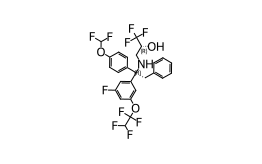 O[C@H](CN[C@](Cc1ccccc1)(c1ccc(OC(F)F)cc1)c1cc(F)cc(OC(F)(F)C(F)F)c1)C(F)(F)F